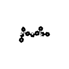 c1ccc(-c2csc(N(c3ccccc3)c3ccc(-c4ccc(-c5ccc(N(c6ccccc6)c6cc(-c7ccccc7)cs6)cc5)o4)cc3)c2)cc1